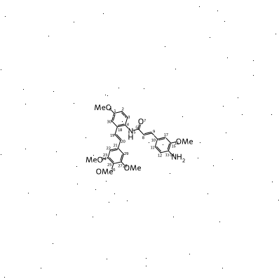 COc1ccc(NC(=O)/C=C/c2ccc(N)c(OC)c2)c(/C=C/c2cc(OC)c(OC)c(OC)c2)c1